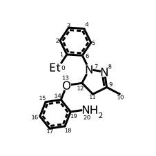 CCc1ccccc1N1N=C(C)CC1Oc1ccccc1N